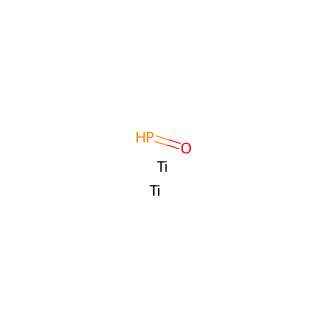 O=P.[Ti].[Ti]